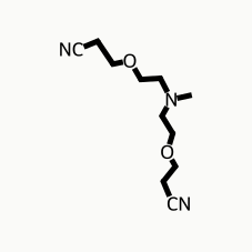 CN(CCOCCC#N)CCOCCC#N